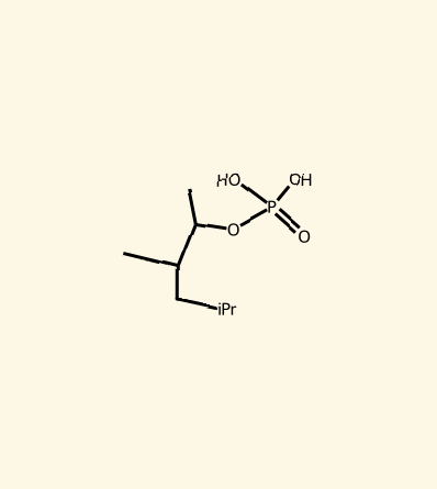 CC(C)CC(C)C(C)OP(=O)(O)O